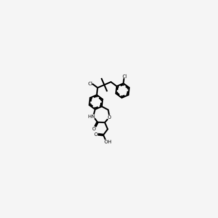 CC(C)(Cc1ccccc1Cl)C(Cl)c1ccc2c(c1)COC(CC(=O)O)C(=O)N2